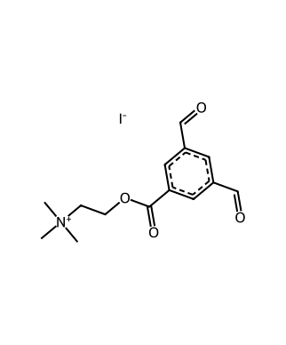 C[N+](C)(C)CCOC(=O)c1cc(C=O)cc(C=O)c1.[I-]